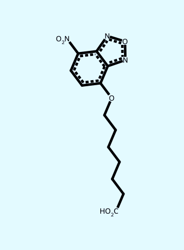 O=C(O)CCCCCCOc1ccc([N+](=O)[O-])c2nonc12